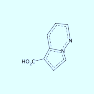 O=C(O)c1ccn2ncccc12